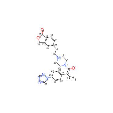 CC(C(=O)N1CCN(CCc2ccc3c(c2)COC3=O)CC1)C1=CCC(n2cnnn2)C=C1